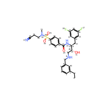 CCc1cccc(CNC[C@@H](O)[C@H](Cc2cc(F)cc(F)c2)NC(=O)c2ccc(S(=O)(=O)N(C)CCC#N)cc2)c1